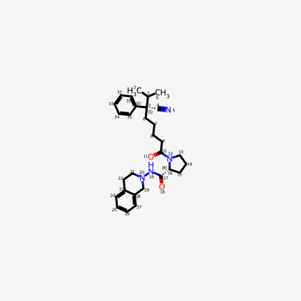 CC(C)[C@@](C#N)(CCCCC(=O)N1CCC[C@@H]1C(=O)NN1CCc2ccccc2C1)c1ccccc1